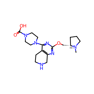 CN1CCC[C@H]1COc1nc2c(c(N3CCN(C(=O)O)CC3)n1)CCNC2